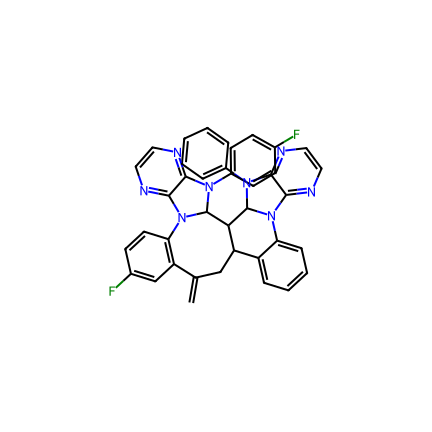 C=C1CC2c3ccccc3N3c4nccnc4N(c4ccccc4)C3C2C2N(c3ccc(F)cc3)c3nccnc3N2c2ccc(F)cc21